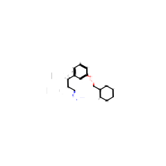 C[C@H](CN)[C@@H](C)c1cccc(OCC2CCCCC2)c1